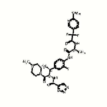 COc1ccc(C(F)(F)C(=O)N[C@@H](C)C(=O)Nc2ccc([C@H](C)[C@@H](NC(=O)c3cnns3)C(=O)N3CCN(C)CC3)cc2F)cn1